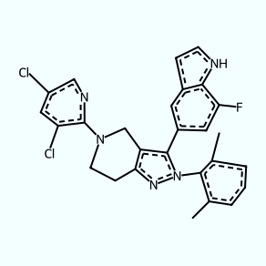 Cc1cccc(C)c1-n1nc2c(c1-c1cc(F)c3[nH]ccc3c1)CN(c1ncc(Cl)cc1Cl)CC2